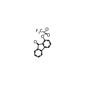 O=C1c2ccccc2-c2cccc(OS(=O)(=O)C(F)(F)F)c21